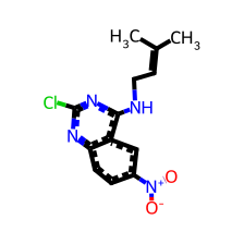 CC(C)=CCNc1nc(Cl)nc2ccc([N+](=O)[O-])cc12